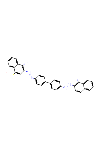 Nc1c(N=Nc2ccc(-c3ccc(N=Nc4cc(S(=O)(=O)O)c5ccccc5c4N)cc3)cc2)ccc2ccccc12